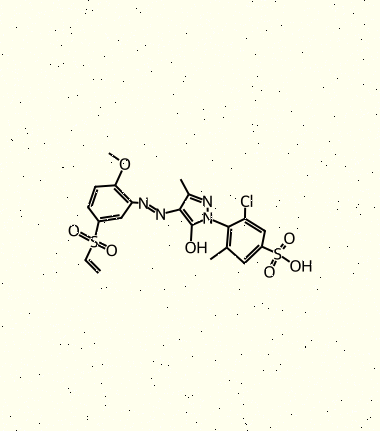 C=CS(=O)(=O)c1ccc(OC)c(N=Nc2c(C)nn(-c3c(C)cc(S(=O)(=O)O)cc3Cl)c2O)c1